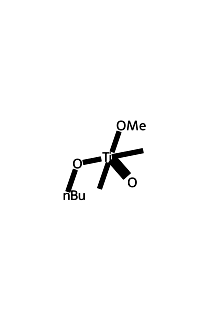 CCCC[O][Ti]([CH3])([CH3])(=[O])[O]C